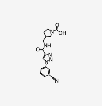 N#Cc1cccc(-n2cc(C(=O)NCC3CCN(C(=O)O)C3)nn2)c1